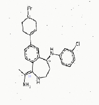 C/C(N)=C1/NCC[C@H](Nc2cccc(Cl)c2)c2cc(C3=CCN(C(C)C)CC3)ccc21